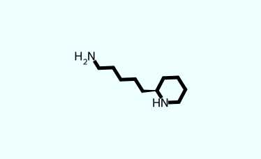 NCCCCC[C@H]1CCCCN1